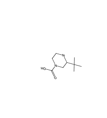 CC(C)(C)C1CN(C(=O)O)CC[N]1